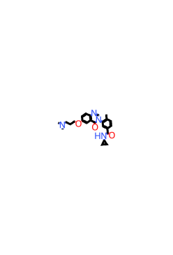 Cc1ccc(C(=O)NC2CC2)cc1-n1cnc2ccc(OCCCN(C)C)cc2c1=O